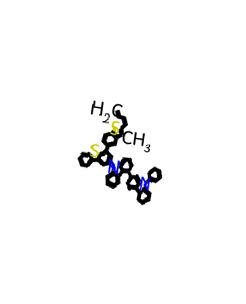 C=C/C=C\c1sc2ccc(-c3cc(-n4c5ccccc5c5c(-c6ccc7c8ccccc8n(-c8ccccc8)c7c6)cccc54)cc4c3sc3ccccc34)cc2c1C